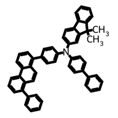 CC1(C)c2ccccc2-c2ccc(N(c3ccc(-c4ccccc4)cc3)c3ccc(-c4cccc5c4ccc4c(-c6ccccc6)cccc45)cc3)cc21